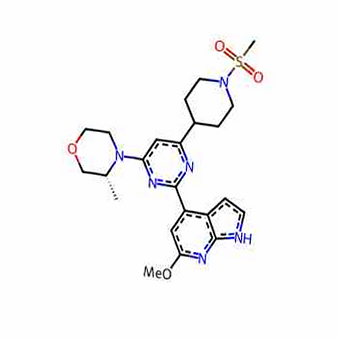 COc1cc(-c2nc(C3CCN(S(C)(=O)=O)CC3)cc(N3CCOC[C@H]3C)n2)c2cc[nH]c2n1